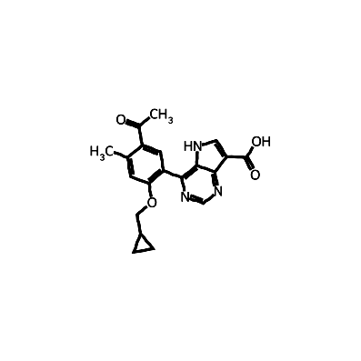 CC(=O)c1cc(-c2ncnc3c(C(=O)O)c[nH]c23)c(OCC2CC2)cc1C